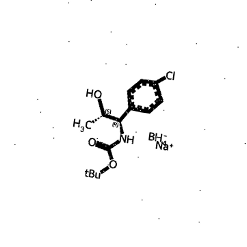 C[C@H](O)[C@H](NC(=O)OC(C)(C)C)c1ccc(Cl)cc1.[BH4-].[Na+]